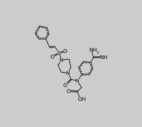 N=C(N)c1ccc(N(CC(=O)O)C(=O)N2CCN(S(=O)(=O)/C=C/c3ccccc3)CC2)cc1